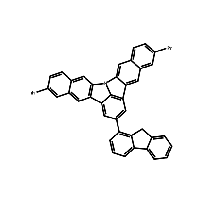 CC(C)c1ccc2cc3c(cc2c1)c1cc(-c2cccc4c2Cc2ccccc2-4)cc2c4cc5cc(C(C)C)ccc5cc4n3c12